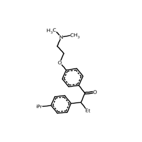 CCC(C(=O)c1ccc(OCCN(C)C)cc1)c1ccc(C(C)C)cc1